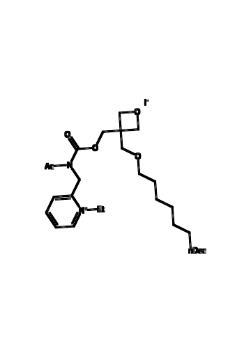 CCCCCCCCCCCCCCCCOCC1(COC(=O)N(Cc2cccc[n+]2CC)C(C)=O)COC1.[I-]